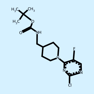 CC(C)(C)OC(=O)NCC1CCN(c2nc(Cl)ncc2F)CC1